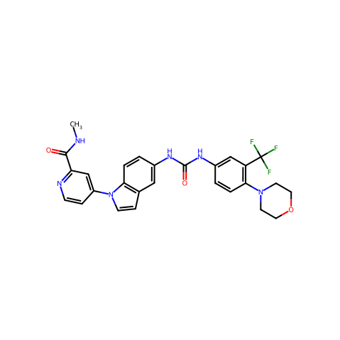 CNC(=O)c1cc(-n2ccc3cc(NC(=O)Nc4ccc(N5CCOCC5)c(C(F)(F)F)c4)ccc32)ccn1